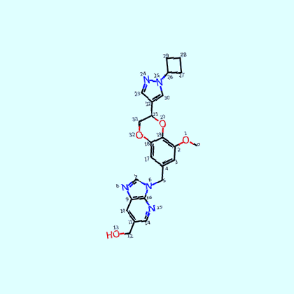 COc1cc(Cn2cnc3cc(CO)cnc32)cc2c1OC(c1cnn(C3CCC3)c1)CO2